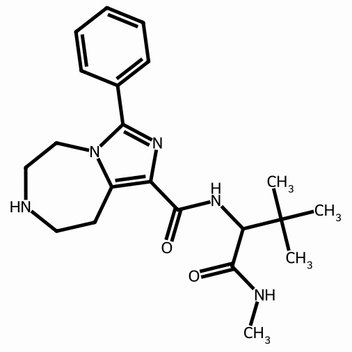 CNC(=O)C(NC(=O)c1nc(-c2ccccc2)n2c1CCNCC2)C(C)(C)C